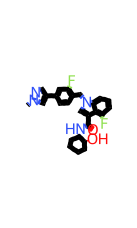 Cn1cc(-c2ccc(Cn3cc(C(=O)N[C@@H]4CCCC[C@H]4O)c4c(F)cccc43)c(F)c2)cn1